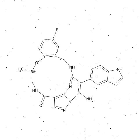 C[Si@H]1CNC(=O)c2cnn3c(N)c(-c4ccc5[nH]ccc5c4)c(nc23)NCc2cc(F)cnc2O1